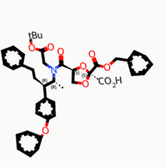 C[C@H]([C@H](CCc1ccccc1)c1ccc(Oc2ccccc2)cc1)N(CC(=O)OC(C)(C)C)C(=O)[C@@H]1CO[C@](C(=O)O)(C(=O)OCc2ccccc2)O1